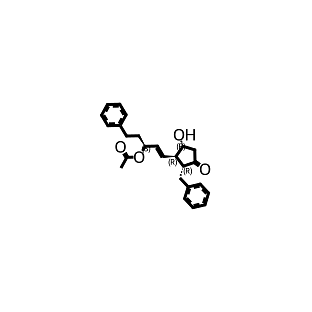 CC(=O)O[C@H](C=C[C@H]1[C@H](O)CC(=O)[C@@H]1Cc1ccccc1)CCc1ccccc1